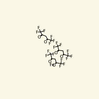 O=C(CC(=O)C(F)(F)F)C(F)(F)F.O=C(CC(=O)C(F)(F)F)C(F)(F)F.O=C(CC(=O)C(F)(F)F)C(F)(F)F.[Fe]